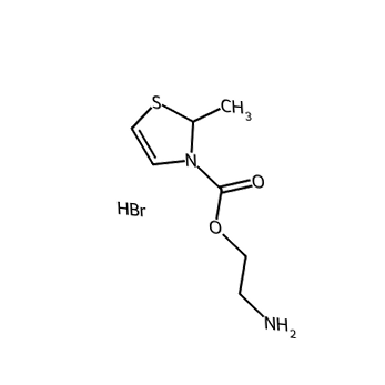 Br.CC1SC=CN1C(=O)OCCN